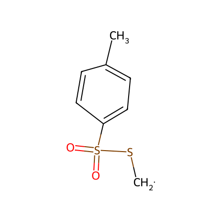 [CH2]SS(=O)(=O)c1ccc(C)cc1